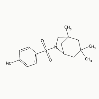 CC1(C)CC2CC(C)(CN2S(=O)(=O)c2ccc(C#N)cc2)C1